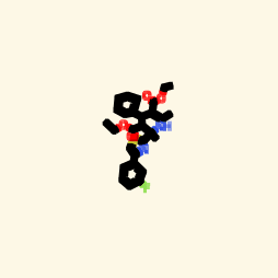 CCOC(=O)C1=C(C)NC(C)(c2nc(-c3cccc(F)c3)cs2)C(C(=O)OCC)C1c1ccccc1